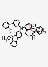 C[C@@H]1C[C@H]2CCC[C@@H](C1)C2c1ccccc1Oc1ccc(N(c2cccc(-c3ccccc3)c2)c2ccc3c(c2)C(C)(C)c2ccccc2-3)cc1